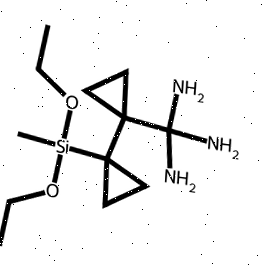 CCO[Si](C)(OCC)C1(C2(C(N)(N)N)CC2)CC1